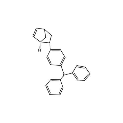 C1=C[C@H]2CC1C[C@@H]2c1ccc(P(c2ccccc2)c2ccccc2)cc1